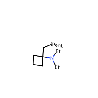 CCCC(C)CC1(N(CC)CC)CCC1